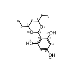 CCC1CC(CC)OC(c2c(O)cc(O)cc2O)O1